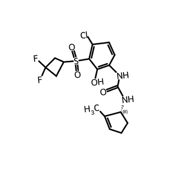 CC1=CCC[C@H]1NC(=O)Nc1ccc(Cl)c(S(=O)(=O)C2CC(F)(F)C2)c1O